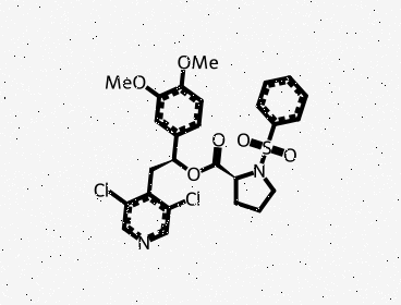 COc1ccc([C@H](Cc2c(Cl)cncc2Cl)OC(=O)[C@@H]2CCCN2S(=O)(=O)c2ccccc2)cc1OC